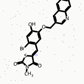 CN1C(=O)S/C(=C\c2cc(OCc3cnc4ccccc4c3)c(O)cc2Br)C1=O